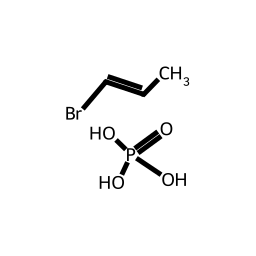 CC=CBr.O=P(O)(O)O